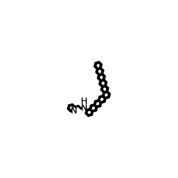 c1ccc(CCNc2cccc3cc4cc5cc6ccc7cc8cc9cc%10cc%11ccccc%11cc%10cc9cc8cc7c6cc5cc4cc23)nc1